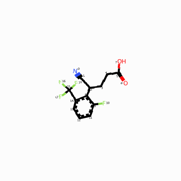 N#CC(CCC(=O)O)c1c(F)cccc1C(F)(F)F